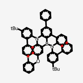 CC(C)(C)c1ccc(N2B3c4cc5c(cc4N(c4ccc(C(C)(C)C)cc4-c4ccccc4)c4cc(-c6ccccc6)cc(c43)-c3ccccc32)Sc2ccccc2O5)c(-c2ccccc2)c1